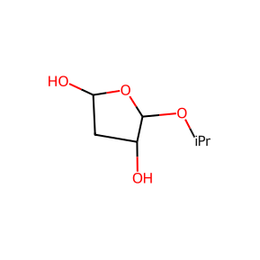 CC(C)OC1OC(O)CC1O